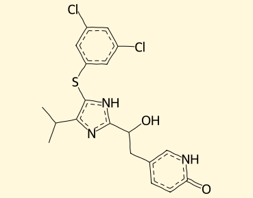 CC(C)c1nc(C(O)Cc2ccc(=O)[nH]c2)[nH]c1Sc1cc(Cl)cc(Cl)c1